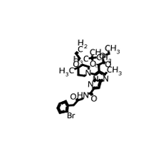 C=CCOC1(C)CCN(c2c([C@H](OC(C)(C)C)C(=O)OCC)c(C)nc3cc(C(=O)NCC(=O)Cc4ccccc4Br)nn23)CC1